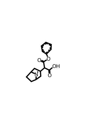 CN1C2CCC1CC(C(C(=O)O)C(=O)Oc1ccccc1)C2